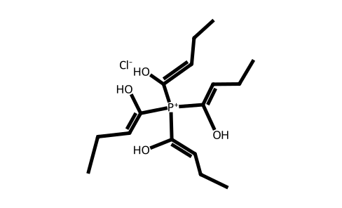 CCC=C(O)[P+](C(O)=CCC)(C(O)=CCC)C(O)=CCC.[Cl-]